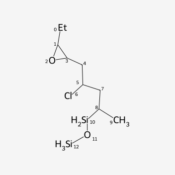 CCC1OC1CC(Cl)CC(C)[SiH2]O[SiH3]